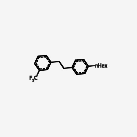 CCCCCCc1ccc(CCc2cccc(C(F)(F)F)c2)cc1